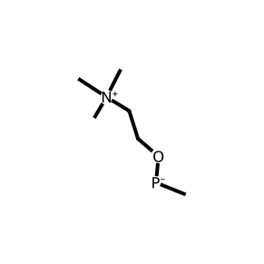 C[P-]OCC[N+](C)(C)C